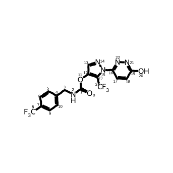 O=C(NCc1ccc(C(F)(F)F)cc1)Oc1cnn(-c2ccc(O)nn2)c1C(F)(F)F